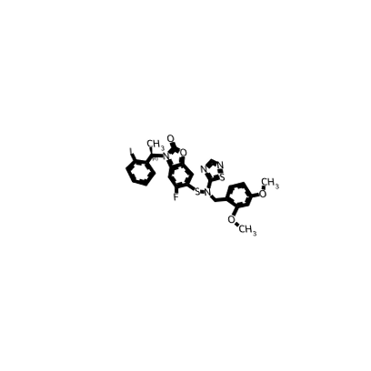 COc1ccc(CN(Sc2cc3oc(=O)n([C@H](C)c4ccccc4I)c3cc2F)c2ncns2)c(OC)c1